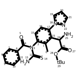 Cc1c(N(C(=O)c2ccccc2)C(N)=S)ccc(-n2cccn2)c1C(N)C(=O)OC(C)(C)C